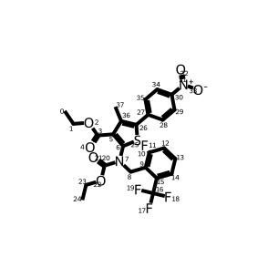 CCOC(=O)c1c(N(Cc2c(F)cccc2C(F)(F)F)C(=O)OCC)sc(-c2ccc([N+](=O)[O-])cc2)c1C